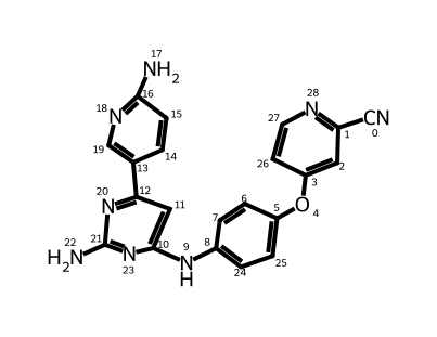 N#Cc1cc(Oc2ccc(Nc3cc(-c4ccc(N)nc4)nc(N)n3)cc2)ccn1